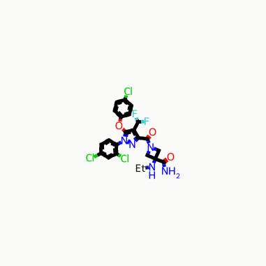 CCNC1(C(N)=O)CN(C(=O)c2nn(-c3ccc(Cl)cc3Cl)c(Oc3ccc(Cl)cc3)c2C(F)F)C1